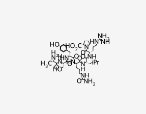 CC(C)C[C@H](NC(=O)[C@@H](CCCNC(N)=O)NC(=O)[C@H](Cc1ccc(O)cc1)NC(=O)[C@H](CO)NC(=O)[C@H](C)N)C(=O)N[C@@H](CCCNC(=N)N)C(=O)N1CCC[C@H]1C(=O)O